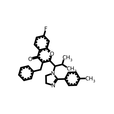 Cc1ccc(C2=NCCN2C(c2oc3cc(F)ccc3c(=O)c2Cc2ccccc2)C(C)C)cc1